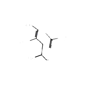 C=C(C)C(=O)O.CCCC/C=C(/CC(CC)CCCC)C(=O)O